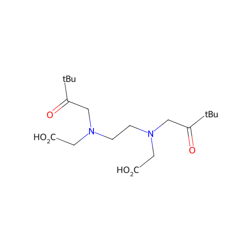 CC(C)(C)C(=O)CN(CCN(CC(=O)O)CC(=O)C(C)(C)C)CC(=O)O